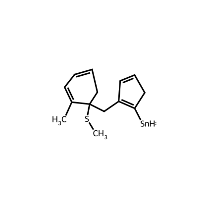 CSC1(CC2=[C]([SnH])CC=C2)CC=CC=C1C